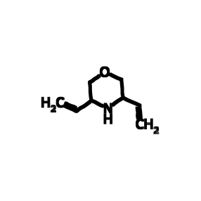 C=CC1COCC(C=C)N1